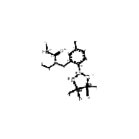 CCN(Cc1cc(C)ccc1B1OC(C)(C)C(C)(C)O1)C(=O)NC